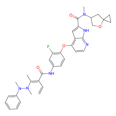 C=C/C(C(=O)Nc1ccc(Oc2ccnc3[nH]c(C(=O)N(C)C4COC5(CC5)C4)cc23)c(F)c1)=C(/C)N(C)N(C)c1ccccc1